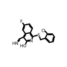 N=Cc1c(O)nc(SCc2ccccc2Cl)c2ccc(F)cc12